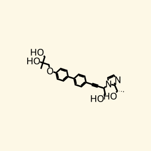 C[C@H](O)c1nccn1C(C#Cc1ccc(-c2ccc(OCC(C)(O)CO)cc2)cc1)CO